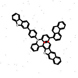 c1ccc(N(c2ccc(-c3ccc4c(c3)oc3ccccc34)cc2)c2ccc(-c3cccc4c3ccc3ccccc34)cc2)c(-c2cccc3c2oc2cc4ccccc4cc23)c1